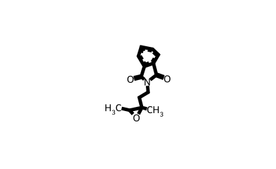 CC1OC1(C)CCN1C(=O)c2ccccc2C1=O